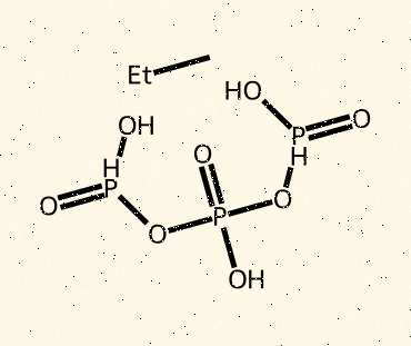 CCC.O=[PH](O)OP(=O)(O)O[PH](=O)O